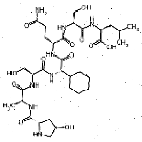 CC(C)C[C@H](NC(=O)[C@H](CO)NC(=O)[C@H](CCC(N)=O)NC(=O)[C@@H](NC(=O)[C@H](CO)NC(=O)[C@H](C)NC(=O)[C@@H]1C[C@@H](O)CN1)C1CCCCC1)C(=O)O